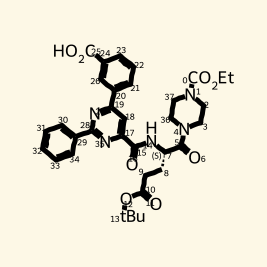 CCOC(=O)N1CCN(C(=O)[C@H](CCC(=O)OC(C)(C)C)NC(=O)c2cc(-c3cccc(C(=O)O)c3)nc(-c3ccccc3)n2)CC1